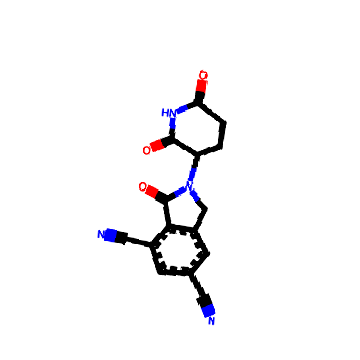 N#Cc1cc(C#N)c2c(c1)CN(C1CCC(=O)NC1=O)C2=O